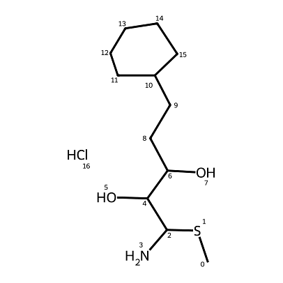 CSC(N)C(O)C(O)CCC1CCCCC1.Cl